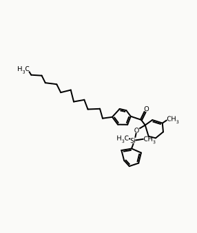 CCCCCCCCCCCCc1ccc(C(=O)C2(O[Si](C)(C)c3ccccc3)C=C(C)CCC2)cc1